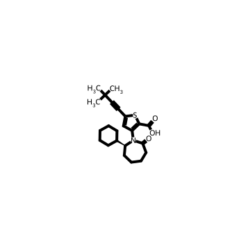 CC(C)(C)C#Cc1cc(N2C(=O)CCCC[C@H]2C2CCCCC2)c(C(=O)O)s1